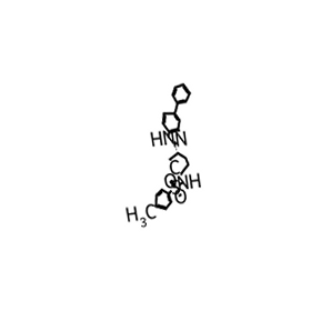 Cc1ccc(S(=O)(=O)N[C@H]2CC[C@@H](c3nc4cc(-c5ccccc5)ccc4[nH]3)CC2)cc1